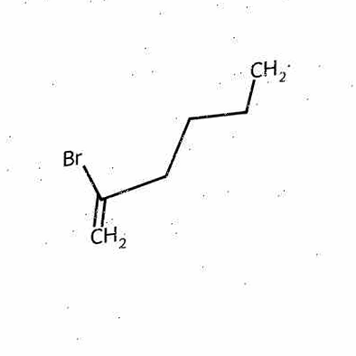 [CH2]CCCC(=C)Br